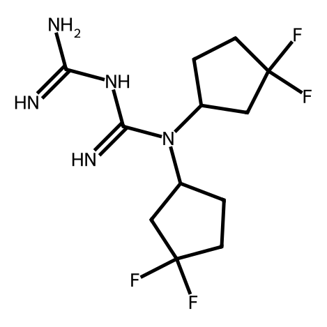 N=C(N)NC(=N)N(C1CCC(F)(F)C1)C1CCC(F)(F)C1